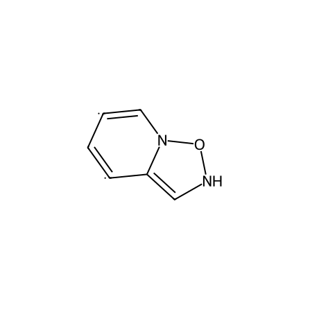 [C]1=C[C]=CN2ONC=C12